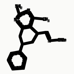 CON=CC1CC(c2ccccc2)Cc2nc(N)nc(C)c21